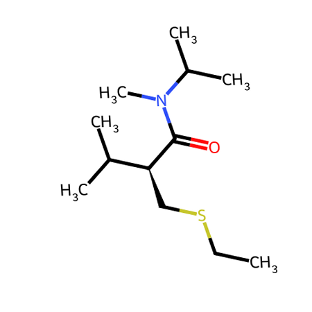 CCSC[C@H](C(=O)N(C)C(C)C)C(C)C